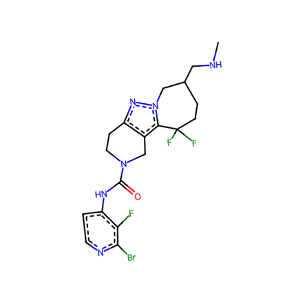 CNCC1CCC(F)(F)c2c3c(nn2C1)CCN(C(=O)Nc1ccnc(Br)c1F)C3